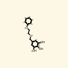 Oc1cc(COCCOc2ccccc2)cc(O)c1O